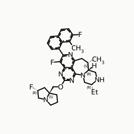 CC[C@@H]1CN2c3nc(OC[C@@]45CCCN4C[C@H](F)C5)nc4c(F)c(-c5cccc6ccc(F)c(C)c56)nc(c34)C[C@H](C)[C@@H]2CN1